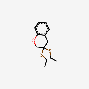 CCSC1(SCC)[CH]c2ccccc2OC1